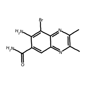 Cc1nc2cc(C(N)=O)c(N)c(Br)c2nc1C